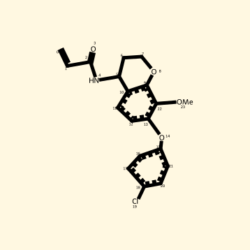 C=CC(=O)NC1CCOc2c1ccc(Oc1ccc(Cl)cc1)c2OC